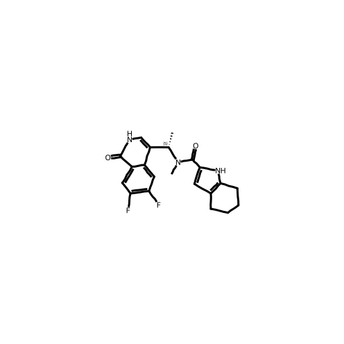 C[C@@H](c1c[nH]c(=O)c2cc(F)c(F)cc12)N(C)C(=O)c1cc2c([nH]1)CCCC2